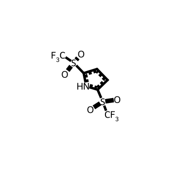 O=S(=O)(c1ccc(S(=O)(=O)C(F)(F)F)[nH]1)C(F)(F)F